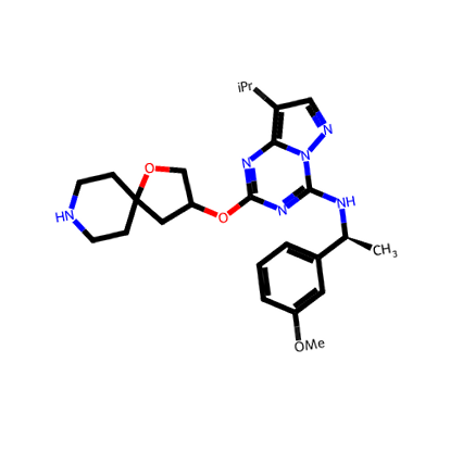 COc1cccc([C@H](C)Nc2nc(OC3COC4(CCNCC4)C3)nc3c(C(C)C)cnn23)c1